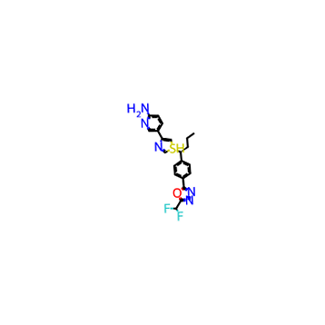 CCC[C@@H](c1ccc(-c2nnc(C(F)F)o2)cc1)[SH]1C=NC(c2ccc(N)nc2)=C1